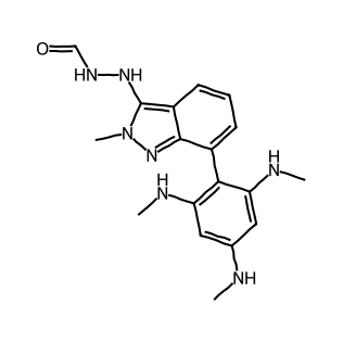 CNc1cc(NC)c(-c2cccc3c(NNC=O)n(C)nc23)c(NC)c1